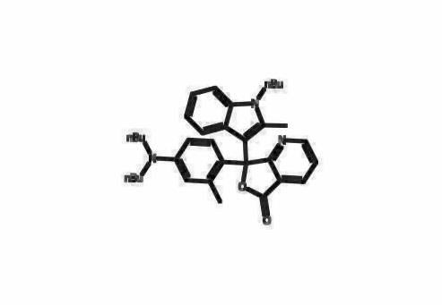 CCCCN(CCCC)c1ccc(C2(c3c(C)n(CCCC)c4ccccc34)OC(=O)c3cccnc32)c(C)c1